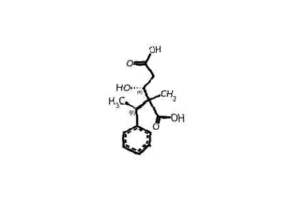 C[C@H](c1ccccc1)C(C)(C(=O)O)[C@H](O)CC(=O)O